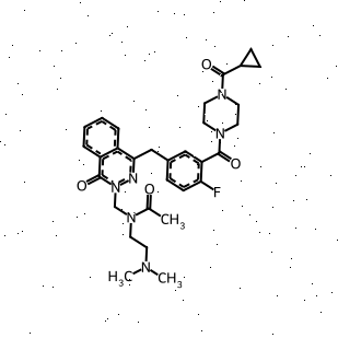 CC(=O)N(CCN(C)C)Cn1nc(Cc2ccc(F)c(C(=O)N3CCN(C(=O)C4CC4)CC3)c2)c2ccccc2c1=O